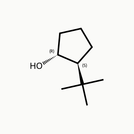 CC(C)(C)[C@@H]1CCC[C@H]1O